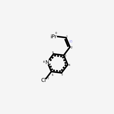 CC(C)/C=C\c1ccc(Cl)nc1